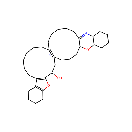 OC1C/C2=C(\CCCCCCc3c1oc1c3CCCC1)CCCCCC1=NC3CCCCC3OC1CCC2